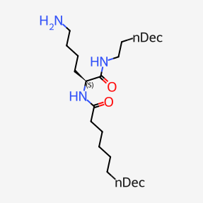 CCCCCCCCCCCCCCCC(=O)N[C@@H](CCCCN)C(=O)NCCCCCCCCCCCC